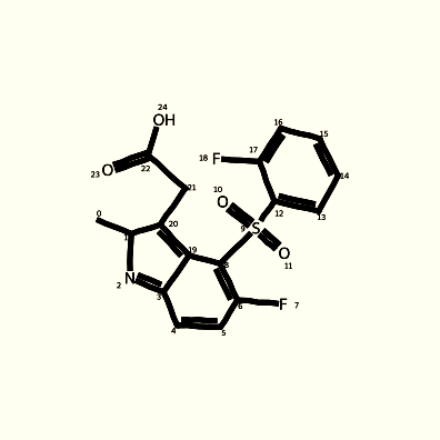 CC1N=c2ccc(F)c(S(=O)(=O)c3ccccc3F)c2=C1CC(=O)O